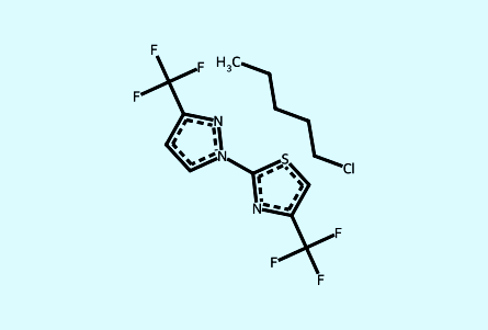 CCCCCCl.FC(F)(F)c1csc(-n2ccc(C(F)(F)F)n2)n1